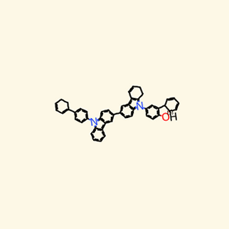 C1=CCCC(c2ccc(-n3c4ccccc4c4cc(-c5ccc6c(c5)c5c(n6-c6ccc7c(c6)C6C=CC=C[C@@H]6O7)CCC=C5)ccc43)cc2)=C1